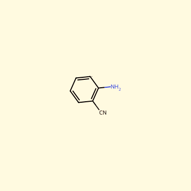 N#Cc1ccc[c]c1N